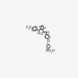 Cc1noc(Nc2cnc(C(F)(F)F)cn2)c1C(=O)Nc1ccc(OC[C@@H]2CCN(C(=O)O)C2)nc1